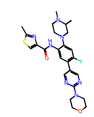 Cc1nc(C(=O)Nc2cc(-c3cnc(N4CCOCC4)nc3)c(F)cc2N2CCN(C)C(C)C2)cs1